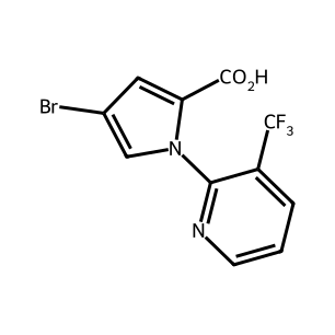 O=C(O)c1cc(Br)cn1-c1ncccc1C(F)(F)F